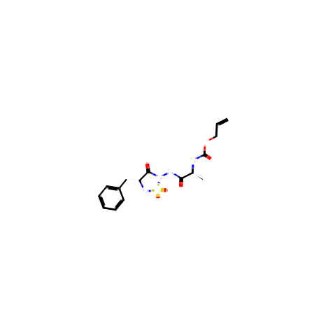 C=CCOC(=O)N[C@@H](C)C(=O)NN1C(=O)[C@@H](Cc2ccccc2)NS1(=O)=O